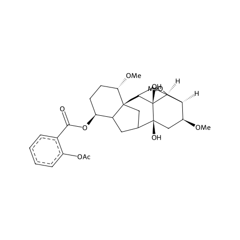 CO[C@H]1C[C@]2(O)C3CC4[C@@H](OC(=O)c5ccccc5OC(C)=O)CC[C@H](OC)[C@@]4(C3)C3C[C@H]1[C@H](OC)[C@@]32O